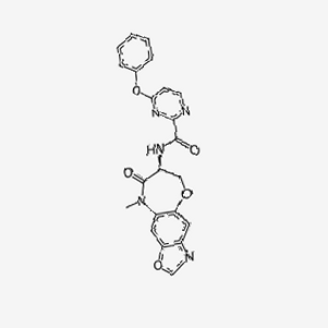 CN1C(=O)[C@@H](NC(=O)c2nccc(Oc3ccccc3)n2)COc2cc3ncoc3cc21